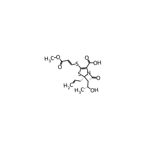 C=CC[C@]12SC(SC=CC(=O)OC)=C(C(=O)O)N1C(=O)[C@@H]2[C@@H](C)O